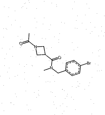 CC(=O)N1CC(C(=O)N(C)Cc2ccc(Br)cc2)C1